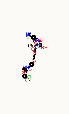 Cc1ncsc1-c1ccc(CNC(=O)[C@@H]2C[C@@H](O)CN2C(=O)C(NC(=O)COCCCCOc2ccc(C(=O)N[C@H]3C(C)(C)[C@H](Oc4ccc(C#N)c(Cl)c4)C3(C)C)cc2)C(C)(C)C)cc1